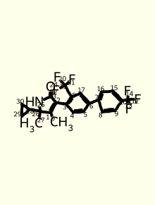 CC1=C(c2ccc(-c3ccc(C(F)(F)F)cc3)cc2C(F)(F)F)C(=O)NC1(C)C1CC1